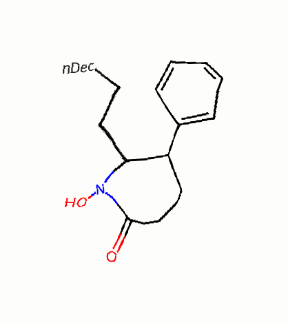 CCCCCCCCCCCCC1C(c2ccccc2)CCC(=O)N1O